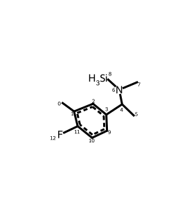 Cc1cc(C(C)N(C)[SiH3])ccc1F